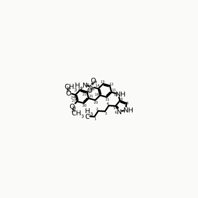 CCCCCc1n[nH]cc1Nc1ccc(S(N)(=O)=O)c(Cc2ccc(OC)c(OC)c2)c1